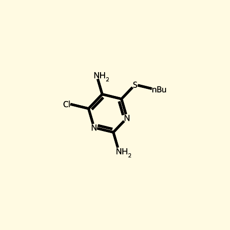 CCCCSc1nc(N)nc(Cl)c1N